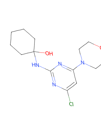 OC1(Nc2nc(Cl)cc(N3CCOCC3)n2)CCCCC1